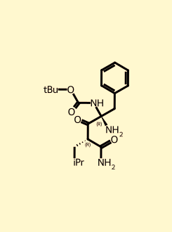 CC(C)C[C@@H](C(N)=O)C(=O)[C@@](N)(Cc1ccccc1)NC(=O)OC(C)(C)C